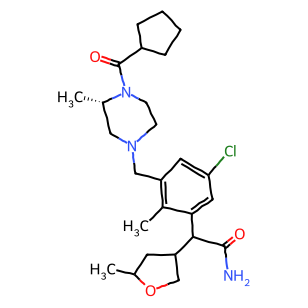 Cc1c(CN2CCN(C(=O)C3CCCC3)[C@@H](C)C2)cc(Cl)cc1C(C(N)=O)C1COC(C)C1